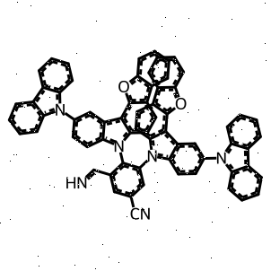 N#Cc1cc(C=N)c(-n2c3ccc(-n4c5ccccc5c5ccccc54)cc3c3c4oc5ccccc5c4ccc32)c(-n2c3ccc(-n4c5ccccc5c5ccccc54)cc3c3c4oc5ccccc5c4ccc32)c1